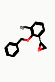 O=[N+]([O-])c1cccc([C@@H]2CO2)c1OCc1ccccc1